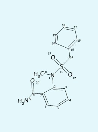 CN(c1ccccc1C(N)=O)S(=O)(=O)Cc1ccccc1